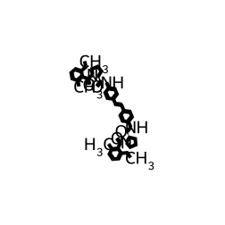 CCc1cccc(C)c1C(=O)N1CCC[C@H]1C(=O)Nc1ccc(/C=C/c2ccc(NC(=O)[C@@H]3CCCN3C(=O)c3c(C)cccc3CC)cc2)cc1